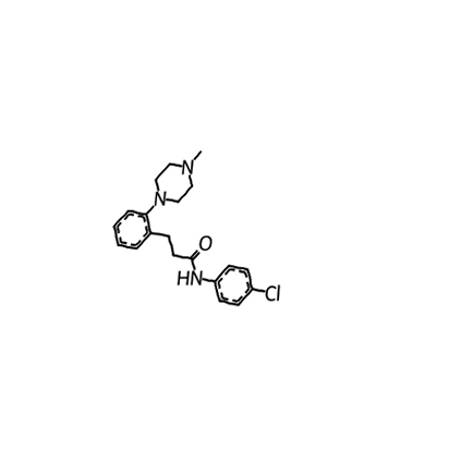 CN1CCN(c2ccccc2CCC(=O)Nc2ccc(Cl)cc2)CC1